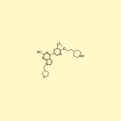 N#Cc1nc(-c2cnc(OCCC3CCNCC3)c(C(F)(F)F)c2)c2ccn(CC3CCOC3)c2n1